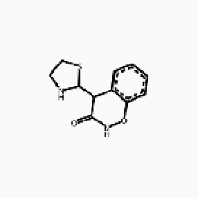 O=C1NOc2ccccc2C1C1NCCS1